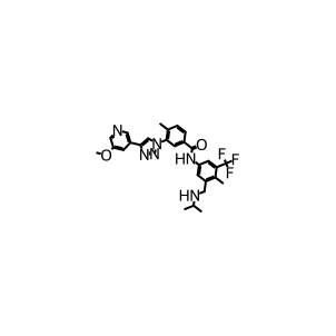 COc1cncc(-c2cn(-c3cc(C(=O)Nc4cc(CNC(C)C)c(C)c(C(F)(F)F)c4)ccc3C)nn2)c1